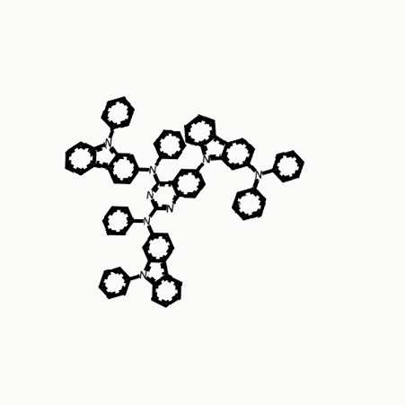 c1ccc(N(c2ccccc2)c2ccc3c4ccccc4n(-c4ccc5nc(N(c6ccccc6)c6ccc7c8ccccc8n(-c8ccccc8)c7c6)nc(N(c6ccccc6)c6ccc7c8ccccc8n(-c8ccccc8)c7c6)c5c4)c3c2)cc1